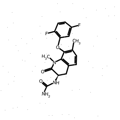 Cc1ccc2c(c1Oc1cc(F)ccc1F)N(C)C(=O)[C@H](NC(N)=O)C2